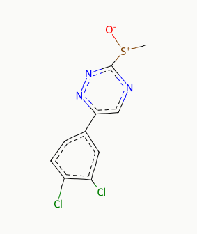 C[S+]([O-])c1ncc(-c2ccc(Cl)c(Cl)c2)nn1